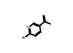 C=C(C)c1ccc(Br)nc1